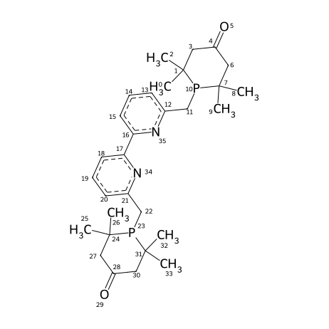 CC1(C)CC(=O)CC(C)(C)P1Cc1cccc(-c2cccc(CP3C(C)(C)CC(=O)CC3(C)C)n2)n1